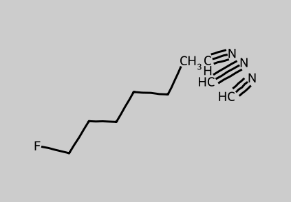 C#N.C#N.C#N.CCCCCCF